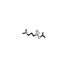 CC(C)O[SiH2]CCCN(C)C